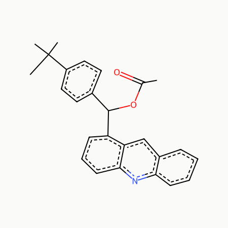 CC(=O)OC(c1ccc(C(C)(C)C)cc1)c1cccc2nc3ccccc3cc12